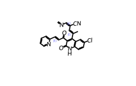 C=N/C=C(C#N)\C=C(/C)c1c(C(=O)/C=C/c2ccccn2)c(=O)[nH]c2ccc(Cl)cc12